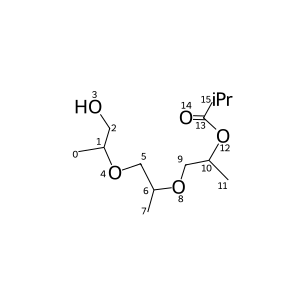 CC(CO)OCC(C)OCC(C)OC(=O)C(C)C